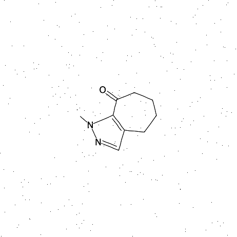 Cn1ncc2c1C(=O)CCCC2